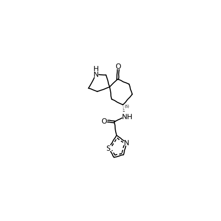 O=C(N[C@H]1CCC(=O)C2(CCNC2)C1)c1nccs1